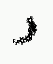 O=C(NCc1cc(-c2ccc(C(F)(F)F)cc2)ncn1)C1CCN1S(=O)(=O)c1cc2ccccc2o1